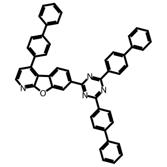 c1ccc(-c2ccc(-c3nc(-c4ccc(-c5ccccc5)cc4)nc(-c4ccc5c(c4)oc4nccc(-c6ccc(-c7ccccc7)cc6)c45)n3)cc2)cc1